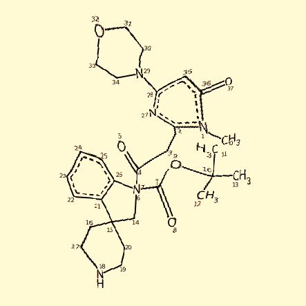 Cn1c(CC(=O)[N+]2(C(=O)OC(C)(C)C)CC3(CCNCC3)c3ccccc32)nc(N2CCOCC2)cc1=O